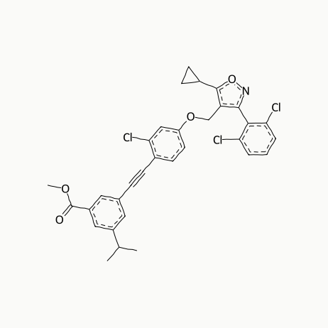 COC(=O)c1cc(C#Cc2ccc(OCc3c(-c4c(Cl)cccc4Cl)noc3C3CC3)cc2Cl)cc(C(C)C)c1